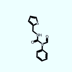 O=CN(C(=O)NCc1cccs1)c1ccccc1